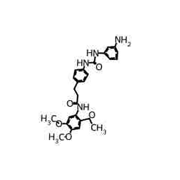 COc1cc(NC(=O)CCc2ccc(NC(=O)Nc3cccc(N)c3)cc2)c(C(C)=O)cc1OC